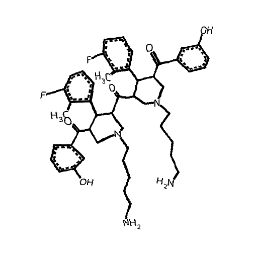 Cc1c(F)cccc1C1C(C(=O)c2cccc(O)c2)CN(CCCCCN)CC1C(=O)C1CN(CCCCCN)CC(C(=O)c2cccc(O)c2)C1c1cccc(F)c1C